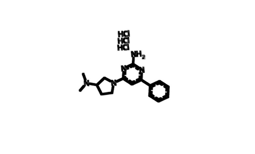 CN(C)C1CCN(c2cc(-c3ccccc3)nc(N)n2)C1.Cl.Cl.Cl